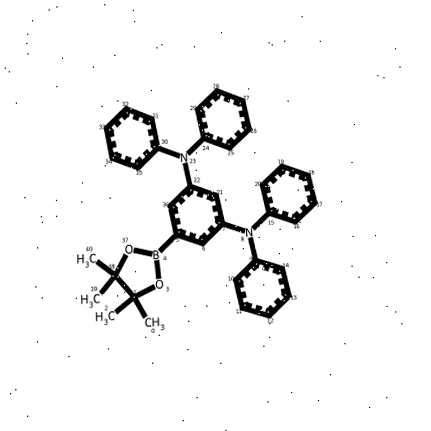 CC1(C)OB(c2cc(N(c3ccccc3)c3ccccc3)cc(N(c3ccccc3)c3ccccc3)c2)OC1(C)C